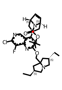 CC[C@@H]1CN2C[C@@H](CC)CC2(COc2nc(N3C[C@@H]4C=C[C@@H](C3)N4C(=O)OC(C)(C)C)c3cnc(Cl)c(F)c3n2)C1